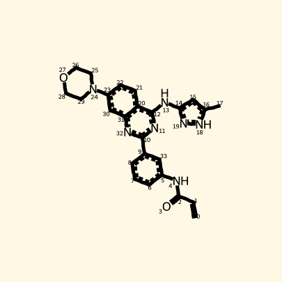 C=CC(=O)Nc1cccc(-c2nc(Nc3cc(C)[nH]n3)c3ccc(N4CCOCC4)cc3n2)c1